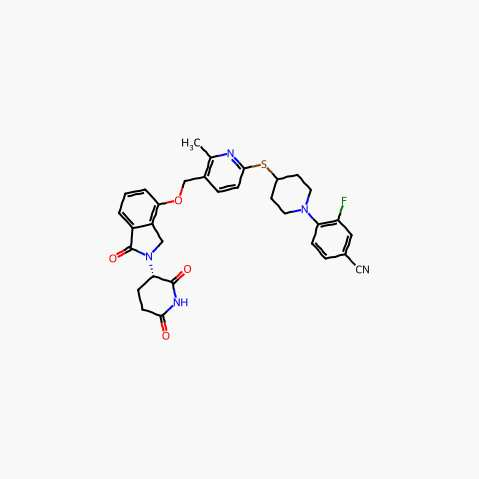 Cc1nc(SC2CCN(c3ccc(C#N)cc3F)CC2)ccc1COc1cccc2c1CN([C@H]1CCC(=O)NC1=O)C2=O